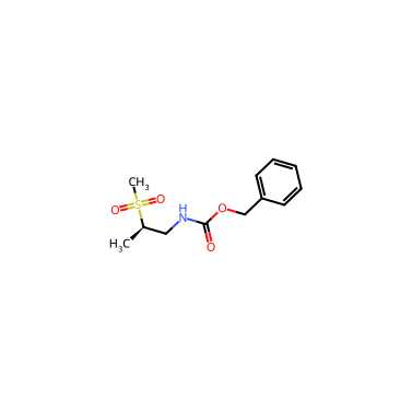 C[C@H](CNC(=O)OCc1ccccc1)S(C)(=O)=O